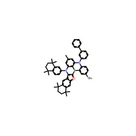 Cc1cc2c3c(c1)N(c1ccc4c(c1)C(C)(C)CCC4(C)C)c1c(oc4cc5c(cc14)C(C)(C)CCC5(C)C)B3c1cc(C(C)(C)C)ccc1N2c1cccc(-c2ccccc2)c1